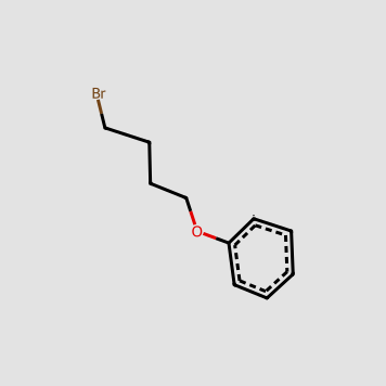 BrCCCCOc1[c]cccc1